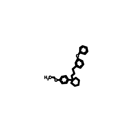 CCOc1ccc(C2(CCCc3cccc(Oc4ccccc4)c3)CCCCC2)cc1